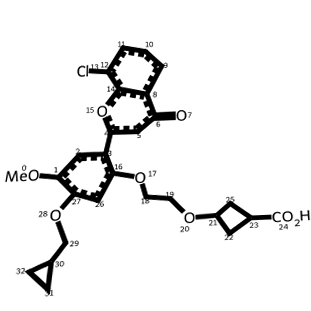 COc1cc(-c2cc(=O)c3cccc(Cl)c3o2)c(OCCOC2CC(C(=O)O)C2)cc1OCC1CC1